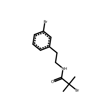 CC(C)(Br)C(=O)NCCc1cccc(Br)c1